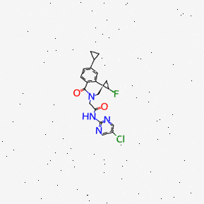 O=C(CN1C[C@]2(C[C@H]2F)c2cc(C3CC3)ccc2C1=O)Nc1ncc(Cl)cn1